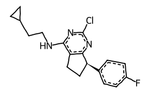 Fc1ccc([C@H]2CCc3c(NCCC4CC4)nc(Cl)nc32)cc1